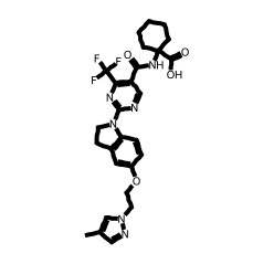 Cc1cnn(CCOc2ccc3c(c2)CCN3c2ncc(C(=O)NC3(C(=O)O)CCCCC3)c(C(F)(F)F)n2)c1